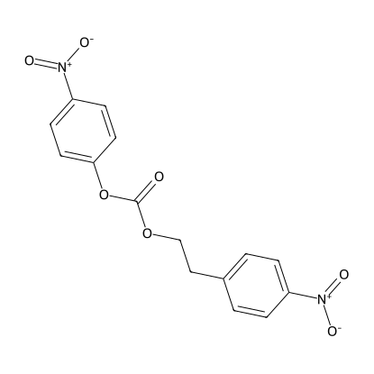 O=C(OCCc1ccc([N+](=O)[O-])cc1)Oc1ccc([N+](=O)[O-])cc1